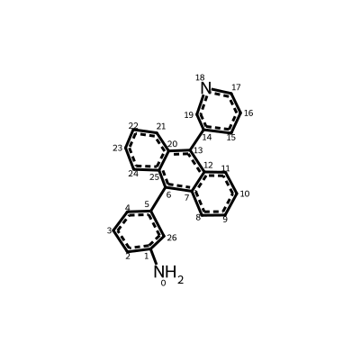 Nc1cccc(-c2c3ccccc3c(-c3cccnc3)c3ccccc23)c1